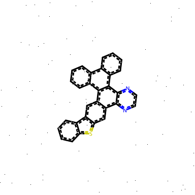 c1ccc2c(c1)sc1cc3c(cc12)c1c2ccccc2c2ccccc2c1c1nccnc31